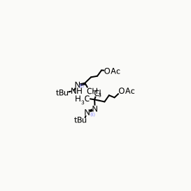 CC(=O)OCCC/C(C)=N/NC(C)(C)C.CC(=O)OCCCC(C)(Cl)/N=N/C(C)(C)C